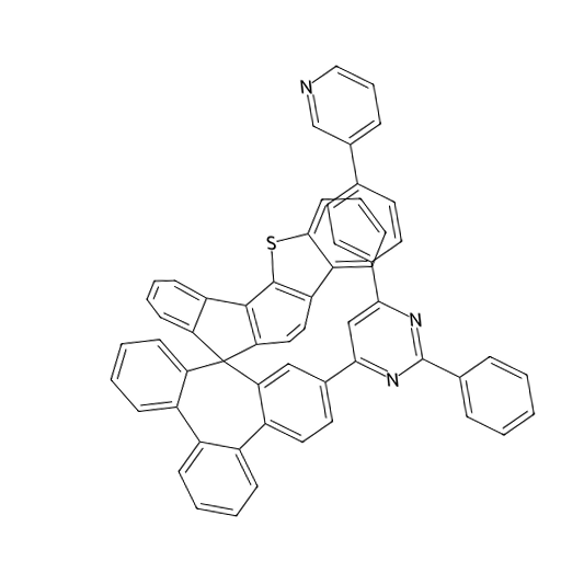 c1ccc(-c2nc(-c3ccc(-c4cccnc4)cc3)cc(-c3ccc4c(c3)C3(c5ccccc5-c5ccccc5-4)c4ccccc4-c4c3ccc3c4sc4ccccc43)n2)cc1